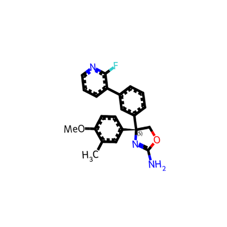 COc1ccc([C@@]2(c3cccc(-c4cccnc4F)c3)COC(N)=N2)cc1C